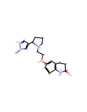 CCn1cc(C2CCCN2CCOc2ccc3c(c2)CCC(=O)N3)cn1